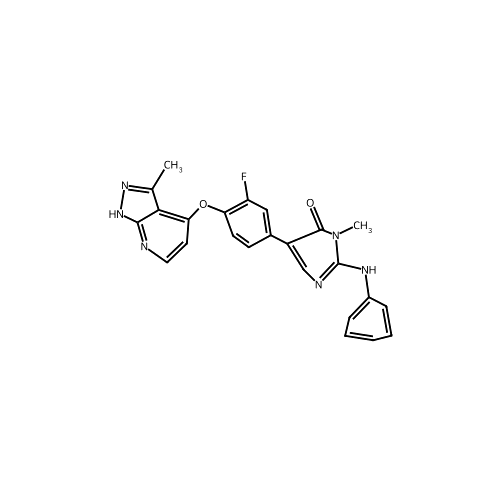 Cc1n[nH]c2nccc(Oc3ccc(-c4cnc(Nc5ccccc5)n(C)c4=O)cc3F)c12